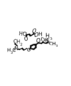 C=CCN(C)C/C=C/COc1ccc(C(=O)CC(O)C=C(C)C)cc1.O=C(O)/C=C/C(=O)O